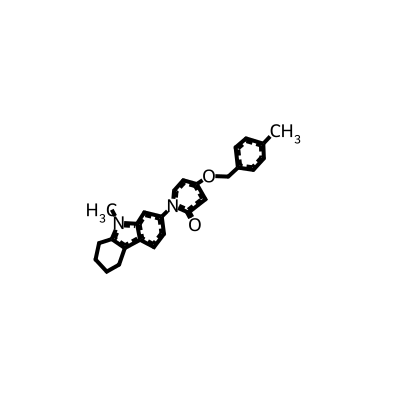 Cc1ccc(COc2ccn(-c3ccc4c5c(n(C)c4c3)CCCC5)c(=O)c2)cc1